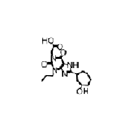 CCCn1c(=O)n(CC(=O)O)c(=O)c2[nH]c([C@H]3CCCC[C@@H](O)C3)nc21